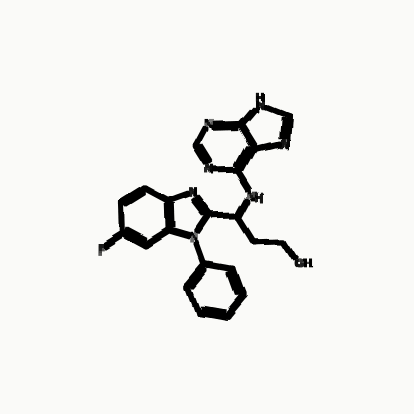 OCCC(Nc1ncnc2[nH]cnc12)c1nc2ccc(F)cc2n1-c1ccccc1